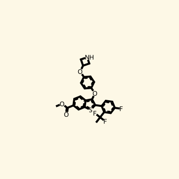 COC(=O)c1ccc2c(Oc3ccc(OC4CNC4)cc3)c(-c3ccc(F)cc3C(C)(F)F)sc2c1